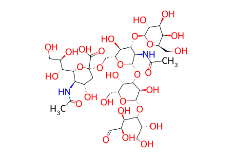 CC(=O)N[C@H]1[C@H](O[C@H]2[C@@H](O)[C@@H](CO)O[C@@H](O[C@@H]([C@H](O)[C@@H](O)C=O)[C@H](O)CO)[C@@H]2O)O[C@H](CO[C@]2(C(=O)O)C[C@H](O)[C@@H](NC(C)=O)[C@H]([C@H](O)[C@H](O)CO)O2)[C@@H](O)[C@@H]1O[C@@H]1O[C@H](CO)[C@H](O)[C@H](O)[C@H]1O